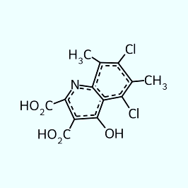 Cc1c(Cl)c(C)c2nc(C(=O)O)c(C(=O)O)c(O)c2c1Cl